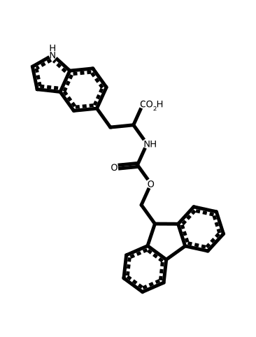 O=C(NC(Cc1ccc2[nH]ccc2c1)C(=O)O)OCC1c2ccccc2-c2ccccc21